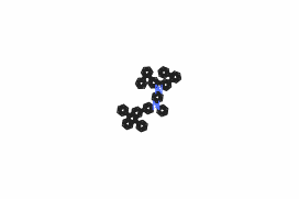 C1=CCC(N(c2ccc(-c3ccc4c(-c5ccccc5)c5ccccc5c(-c5ccccc5)c4c3)cc2)c2ccc(-n3c4ccc(-c5ccccc5-c5ccccc5)cc4c4cc(-c5ccccc5-c5ccccc5)ccc43)cc2)C=C1